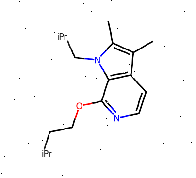 Cc1c(C)n(CC(C)C)c2c(OCCC(C)C)nccc12